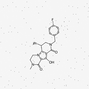 CC(C)C1CN(Cc2ccc(F)cc2)C(=O)c2c(O)c3n(c21)CCN(C)C3=O